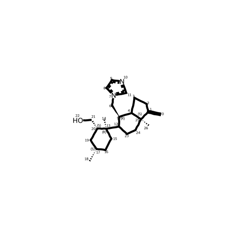 C=C1CCC2[C@H](Cn3ccnc3)C([C@@]3(C)CC[C@H](C)C[C@@H]3CO)CC[C@]12C